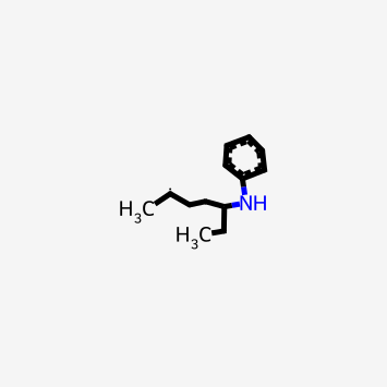 C[CH]CCC(CC)Nc1ccccc1